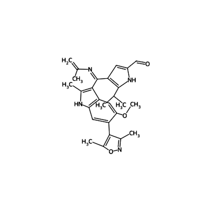 C=C(C)/N=C(/c1cc(C=O)[nH]c1C(C)C)c1c(C)[nH]c2cc(-c3c(C)noc3C)c(OC)cc12